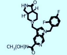 CN(O)C(=O)c1cc2c(CN3CC[C@H]4C(=O)NC[C@@H]4C3)cn(Cc3ccc(F)cc3F)c2cn1